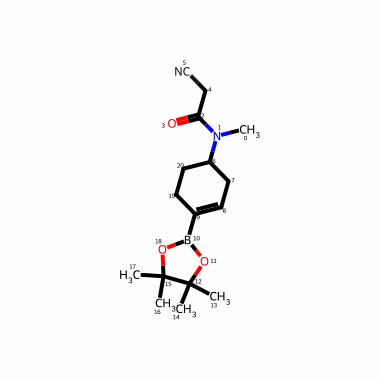 CN(C(=O)CC#N)C1CC=C(B2OC(C)(C)C(C)(C)O2)CC1